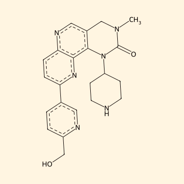 CN1Cc2cnc3ccc(-c4ccc(CO)nc4)nc3c2N(C2CCNCC2)C1=O